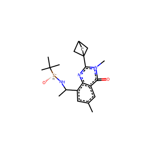 Cc1cc(C(C)N[S@+]([O-])C(C)(C)C)c2nc(C34CC(C3)C4)n(C)c(=O)c2c1